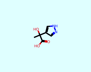 CC(O)(C(=O)O)c1cn[nH]c1